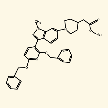 Cn1nc(-c2ccc(OCc3ccccc3)nc2OCc2ccccc2)c2ccc(N3CCC(CC(=O)OC(C)(C)C)CC3)cc21